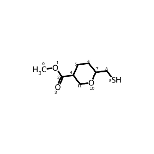 COC(=O)C1CCC(CS)OC1